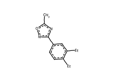 CCc1ccc(-c2noc(C)n2)cc1CC